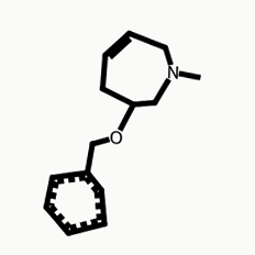 CN1CC=CCC(OCc2ccccc2)C1